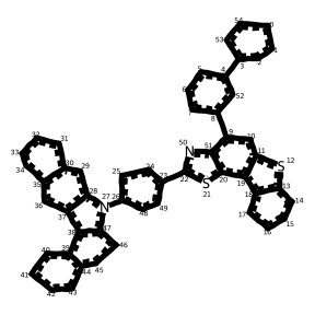 c1ccc(-c2cccc(-c3cc4sc5ccccc5c4c4sc(-c5ccc(-n6c7cc8ccccc8cc7c7c8ccccc8ccc76)cc5)nc34)c2)cc1